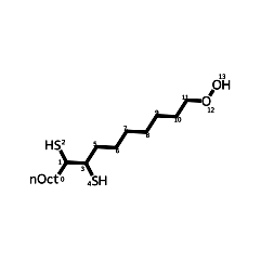 CCCCCCCCC(S)C(S)CCCCCCCOO